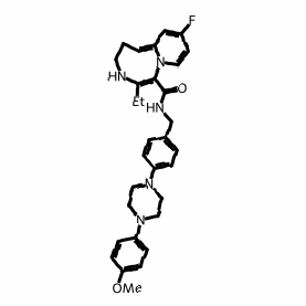 CC/C1=C(\C(=O)NCc2ccc(N3CCN(c4ccc(OC)cc4)CC3)cc2)N2C=CC(F)=C/C2=C\CCN1